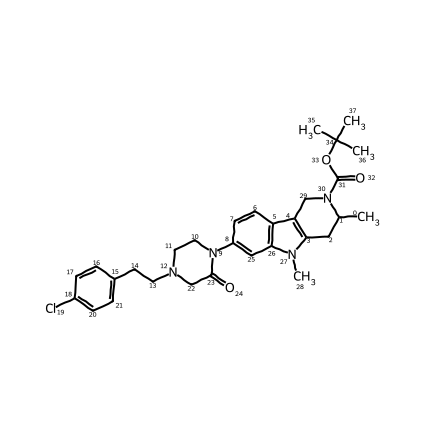 CC1Cc2c(c3ccc(N4CCN(CCc5ccc(Cl)cc5)CC4=O)cc3n2C)CN1C(=O)OC(C)(C)C